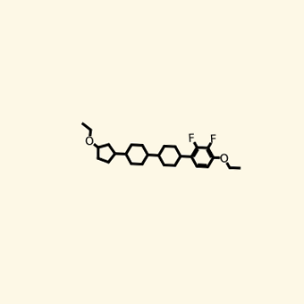 CCOc1ccc(C2CCC(C3CCC(C4CCC(OCC)C4)CC3)CC2)c(F)c1F